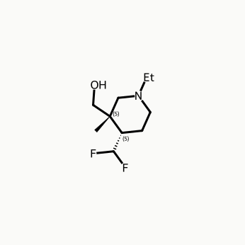 CCN1CC[C@H](C(F)F)[C@](C)(CO)C1